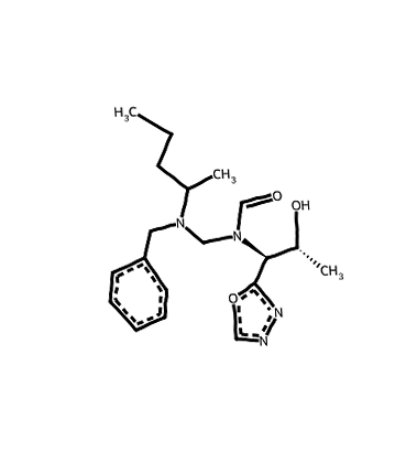 CCCC(C)N(Cc1ccccc1)CN(C=O)[C@H](c1nnco1)[C@@H](C)O